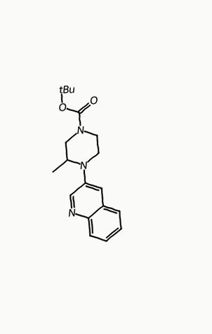 CC1CN(C(=O)OC(C)(C)C)CCN1c1cnc2ccccc2c1